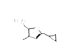 CC1C=C(C2CC2)OC1N